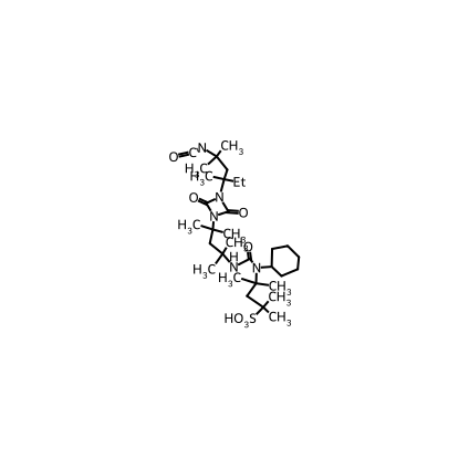 CCC(C)(CC(C)(C)N=C=O)N1C(=O)N(C(C)(C)CC(C)(C)NC(=O)N(C2CCCCC2)C(C)(C)CC(C)(C)S(=O)(=O)O)C1=O